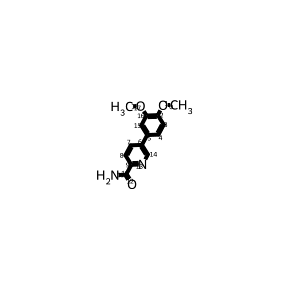 COc1ccc(-c2ccc(C(N)=O)nc2)cc1OC